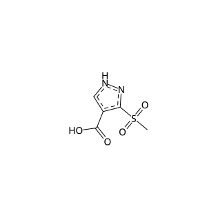 CS(=O)(=O)c1n[nH]cc1C(=O)O